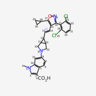 Cn1cc(C(=O)O)c2ccc(N3CC4C(/C=C/c5c(-c6c(Cl)cccc6Cl)noc5C5CC5)C4C3)cc21